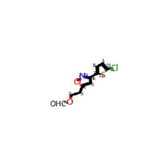 O=COCCc1cc(-c2ccc(Cl)s2)no1